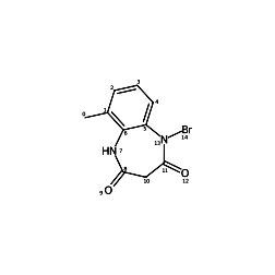 Cc1cccc2c1NC(=O)CC(=O)N2Br